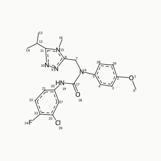 COc1ccc(N(Cc2nnc(C(C)C)n2C)C(=O)Nc2ccc(F)c(Cl)c2)cc1